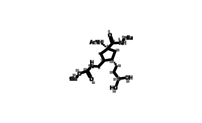 CCCCNC(=O)[C@]1(NC(C)=O)CC(CNC(=O)OC(C)(C)C)[C@@H](CCB(O)O)C1